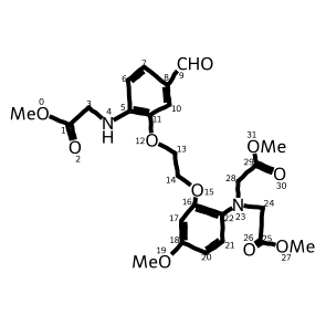 COC(=O)CNc1ccc(C=O)cc1OCCOc1cc(OC)ccc1N(CC(=O)OC)CC(=O)OC